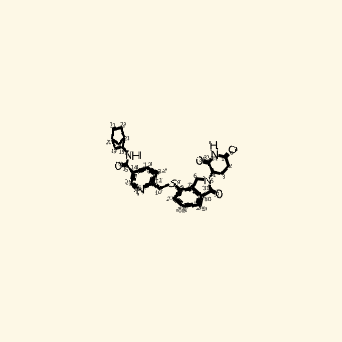 O=C1CCC(N2Cc3c(SCc4ccc(C(=O)NC5CC6CCC5C6)cn4)cccc3C2=O)C(=O)N1